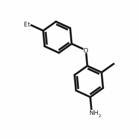 CCc1ccc(Oc2ccc(N)cc2C)cc1